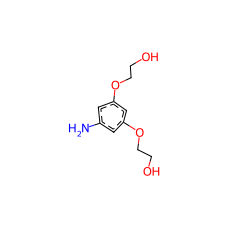 Nc1cc(OCCO)cc(OCCO)c1